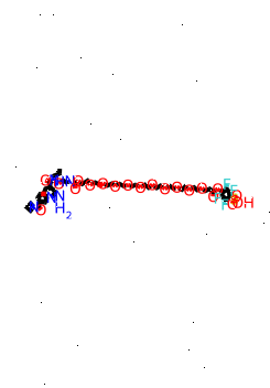 CCCN(OCCNC(=O)OCCOCCOCCOCCOCCOCCOCCOCCOCCOCCOCCC(=O)Oc1c(F)c(F)c(S(=O)(=O)O)c(F)c1F)C(=O)C1=Cc2ccc(C(=O)N3CCC3)cc2N=C(N)C1